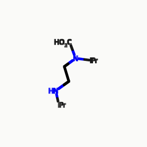 CC(C)NCCN(C(=O)O)C(C)C